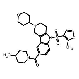 Cc1oncc1S(=O)(=O)n1c2c(c3cc(C(=O)N4CCC(C)CC4)ccc31)CN(C1CCOCC1)CC2